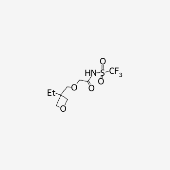 CCC1(COCC(=O)NS(=O)(=O)C(F)(F)F)COC1